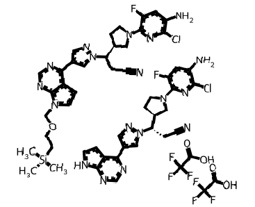 C[Si](C)(C)CCOCn1ccc2c(-c3cnn(C(CC#N)[C@H]4CCN(c5nc(Cl)c(N)cc5F)C4)c3)ncnc21.N#CC[C@@H]([C@H]1CCN(c2nc(Cl)c(N)cc2F)C1)n1cc(-c2ncnc3[nH]ccc23)cn1.O=C(O)C(F)(F)F.O=C(O)C(F)(F)F